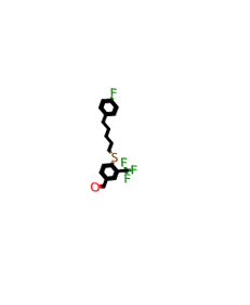 O=Cc1ccc(SCCCCCc2ccc(F)cc2)c(C(F)(F)F)c1